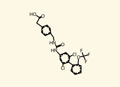 O=C(O)Cc1ccc(CNC(=O)Nc2cc(Cl)c(-c3ccccc3OC(F)(F)F)c(Cl)c2)cc1